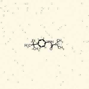 CCC(C)(C)c1ccc(NC(=O)N(C)C)cc1